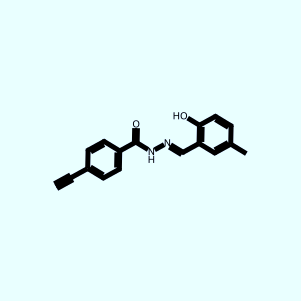 C#Cc1ccc(C(=O)N/N=C/c2cc(C)ccc2O)cc1